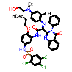 CCCCCCCCCCCCOc1ccc(NS(=O)(=O)c2cc(Cl)c(Cl)cc2Cl)cc1NC(=O)/C(=N\c1ccc(N(CC)CCO)cc1C)c1nc2ccccc2c(=O)n1-c1ccccc1